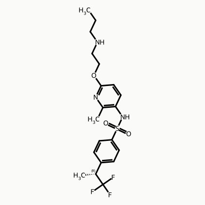 CCCNCCOc1ccc(NS(=O)(=O)c2ccc([C@@H](C)C(F)(F)F)cc2)c(C)n1